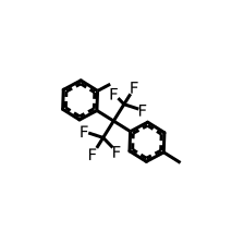 Cc1ccc(C(c2ccccc2C)(C(F)(F)F)C(F)(F)F)cc1